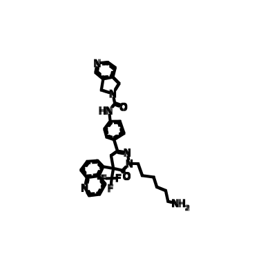 NCCCCCCN1N=C(c2ccc(NC(=O)N3Cc4ccncc4C3)cc2)CC(c2cccc3ncccc23)(C(F)(F)F)C1=O